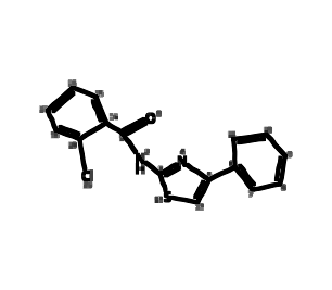 O=C(Nc1nc(-c2ccccc2)cs1)c1ccccc1Cl